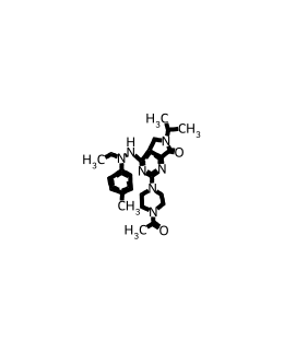 CCN(Nc1nc(N2CCN(C(C)=O)CC2)nc2c1CN(C(C)C)C2=O)c1ccc(C)cc1